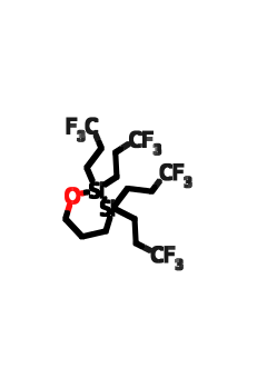 FC(F)(F)CC[Si]1(CCC(F)(F)F)CCCO[Si]1(CCC(F)(F)F)CCC(F)(F)F